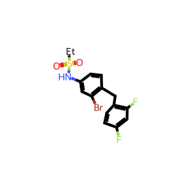 CCS(=O)(=O)Nc1ccc(Cc2ccc(F)cc2F)c(Br)c1